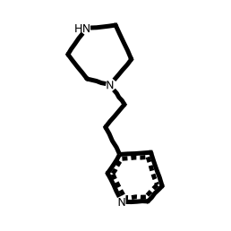 c1cncc(CCN2CCNCC2)c1